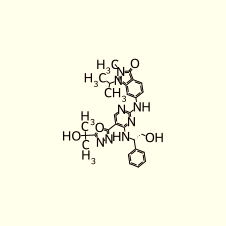 CC(C)n1c2cc(Nc3ncc(-c4nnc(C(C)(C)O)o4)c(N[C@H](CO)c4ccccc4)n3)ccc2c(=O)n1C